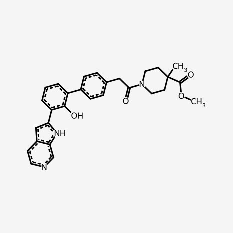 COC(=O)C1(C)CCN(C(=O)Cc2ccc(-c3cccc(-c4cc5ccncc5[nH]4)c3O)cc2)CC1